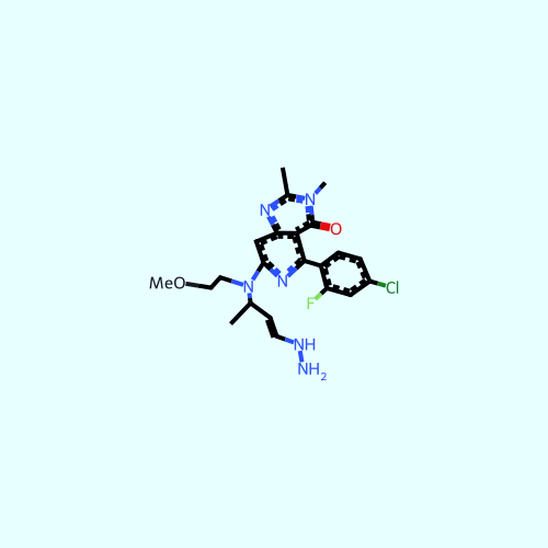 COCCN(c1cc2nc(C)n(C)c(=O)c2c(-c2ccc(Cl)cc2F)n1)C(C)C=CNN